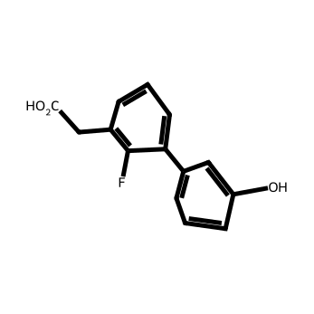 O=C(O)Cc1cccc(-c2cccc(O)c2)c1F